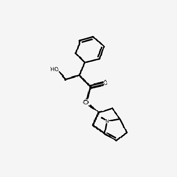 CN1C2=CCC1C[C@H](OC(=O)C(CO)C1C=CC=CC1)C2